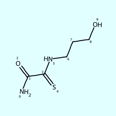 NC(=O)C(=S)NCCCO